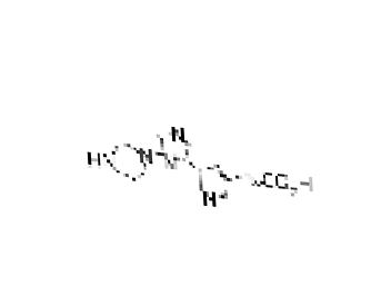 O=C(O)C=Cc1cncc(-c2cncc(N3CCCNCC3)n2)c1